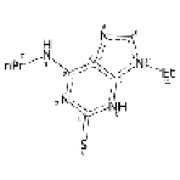 CCCNc1nc(=S)[nH]c2c1ncn2CC